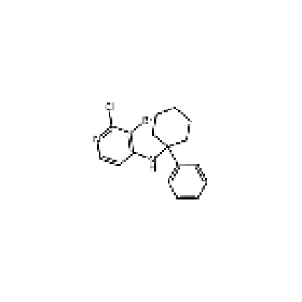 Clc1nccc(NC2(c3ccccc3)CCCCC2)c1Br